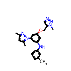 Cc1cc(C)n(-c2cc(Nc3cccc(C(F)(F)F)c3)cc(OCc3cnnn3C)c2)n1